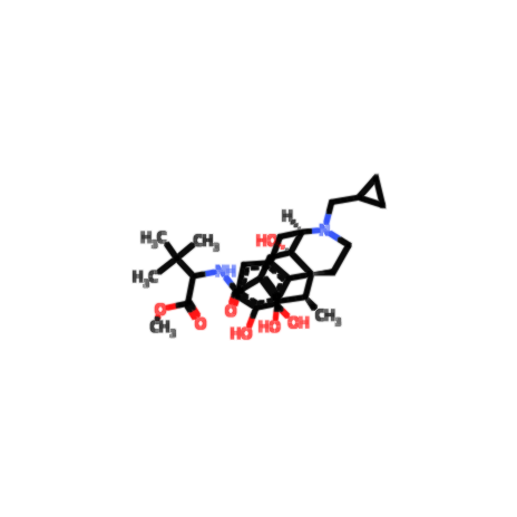 COC(=O)C(NC(=O)C1=C(O)[C@H](C)[C@]23CCN(CC4CC4)[C@H](Cc4ccc(O)c(O)c42)[C@]3(O)C1)C(C)(C)C